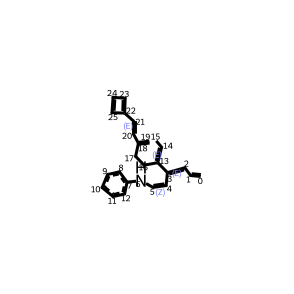 C=C/C=C(\C=C/Nc1ccccc1)C(=C/C)/CCC(=C)/C=C/C1=CC=C1